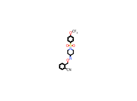 N#Cc1ccccc1CON=C1CCN(S(=O)(=O)c2ccc(OC(F)(F)F)cc2)CC1